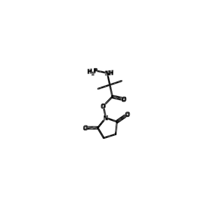 CC(C)(NP)C(=O)ON1C(=O)CCC1=O